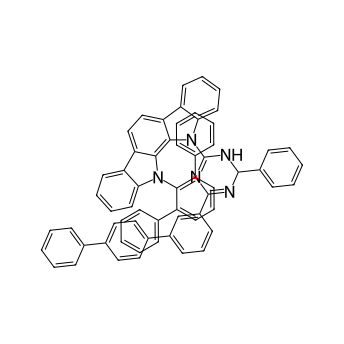 c1ccc(-c2ccc(-c3cccc(C4=NC(c5ccccc5)NC(n5c6ccccc6c6ccc7c8ccccc8n(-c8c(-c9ccccc9)cccc8-c8ccccc8)c7c65)=N4)c3)cc2)cc1